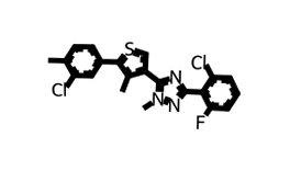 Cc1ccc(-c2scc(-c3nc(-c4c(F)cccc4Cl)nn3C)c2C)cc1Cl